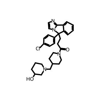 O=C(CCC1(c2ccc(Cl)cc2)c2ccccc2-c2nccn21)N1CCC(CN2CCCC(O)C2)CC1